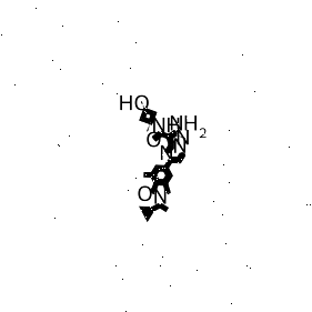 Cc1cc(-c2ccn3nc(N)c(C(=O)N[C@]4(C)C[C@@H](O)C4)c3n2)cc2c1C(=O)N(C(C)C1CC1)C2